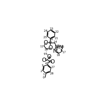 Cc1ccc(S(=O)(=O)OC[C@@H]2COC(Cn3nccn3)(c3ccccc3)O2)cc1